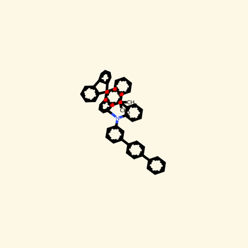 CC1(C)c2ccccc2C2(c3ccccc3-c3ccccc32)c2cccc(N(c3cccc(-c4ccc(-c5ccccc5)cc4)c3)c3ccccc3-c3ccccc3)c21